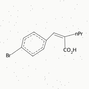 CCCC(=Cc1ccc(Br)cc1)C(=O)O